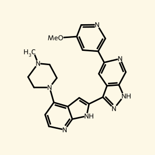 COc1cncc(-c2cc3c(-c4cc5c(N6CCN(C)CC6)ccnc5[nH]4)n[nH]c3cn2)c1